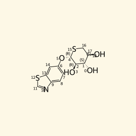 O[C@@H]1[C@@H](O)[C@H](Oc2ccc3ncsc3c2)SC[C@H]1O